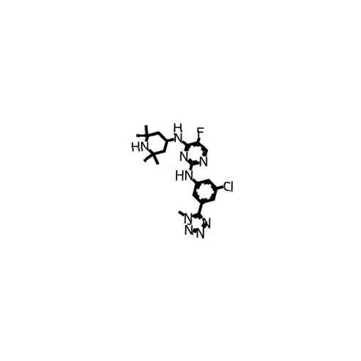 Cn1nnnc1-c1cc(Cl)cc(Nc2ncc(F)c(NC3CC(C)(C)NC(C)(C)C3)n2)c1